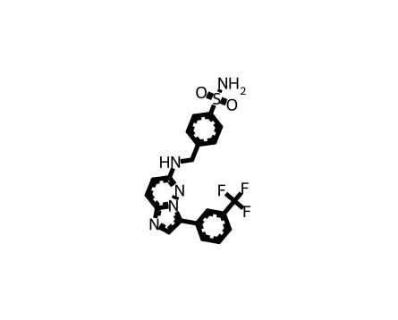 NS(=O)(=O)c1ccc(CNc2ccc3ncc(-c4cccc(C(F)(F)F)c4)n3n2)cc1